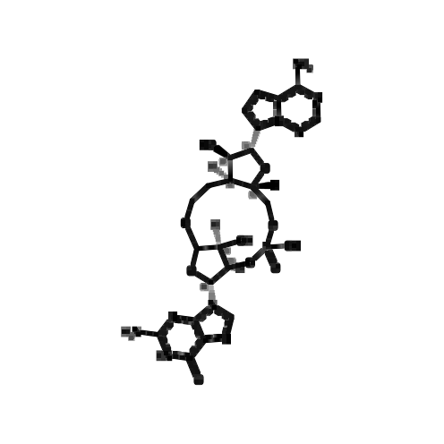 Nc1nc2c(ncn2[C@@H]2OC3OCC[C@H]4[C@@H](O)[C@H](c5ccc6c(N)ncnn56)O[C@@H]4COP(=O)(O)O[C@@H]2[C@@H]3O)c(=O)[nH]1